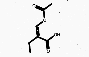 CCC(=COC(C)=O)C(=O)O